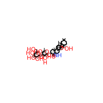 C[C@H]1O[C@@H](O[C@H]2CC[C@]3(C)[C@H]4C=C[C@]56OC[C@@]7(CCC(C)(C)C[C@H]75)[C@H](O)C[C@@]6(C)[C@]4(C)CC[C@@]3(NO)C2(C)C)[C@H](O)[C@@H](O[C@@H]2O[C@H](CO)[C@@H](O)[C@H](O)[C@H]2O)[C@H]1O